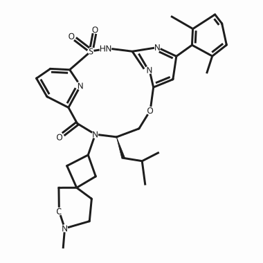 Cc1cccc(C)c1-c1cc2nc(n1)NS(=O)(=O)c1cccc(n1)C(=O)N(C1CC3(CCN(C)CC3)C1)[C@H](CC(C)C)CO2